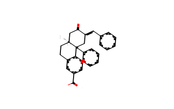 O=C1C[C@H]2CCc3cc(C(=O)O)ccc3C2(c2ccccc2)C/C1=C\c1ccccc1